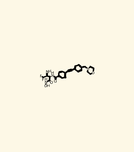 N=C(C(F)F)[C@H](NC(=O)c1ccc(C#Cc2ccc(CN3CCOCC3)cc2)cc1)C(=O)NO